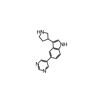 c1ncc(-c2ccc3[nH]cc(C4CCNC4)c3c2)cn1